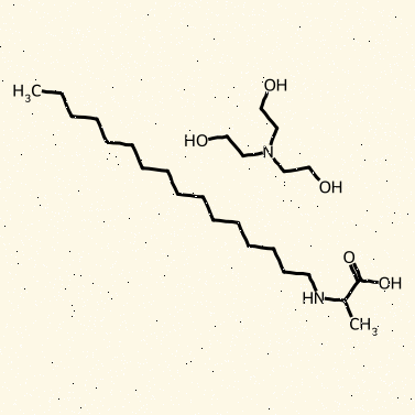 CCCCCCCCCCCCCCCCNC(C)C(=O)O.OCCN(CCO)CCO